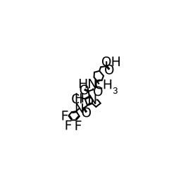 CC1(NC(=O)C(=O)c2c(Cl)c(C(=O)Nc3cc(F)c(F)c(F)c3)c3n2CCC3)CCC(CC(=O)O)CC1